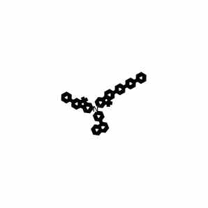 CC1(C)c2cc(-c3ccccc3)ccc2-c2ccc(N(c3ccc(-c4cccc5ccccc45)cc3)c3ccc4c(c3)C(C)(C)c3cc(-c5ccc(-c6ccc(-c7ccccc7)cc6)cc5)ccc3-4)cc21